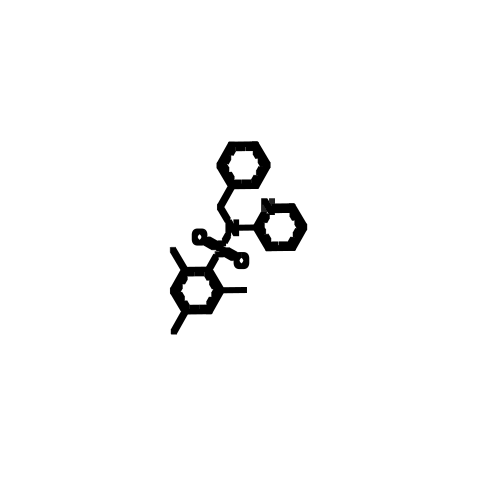 Cc1cc(C)c(S(=O)(=O)N(Cc2ccccc2)c2ccccn2)c(C)c1